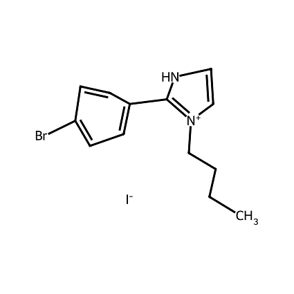 CCCC[n+]1cc[nH]c1-c1ccc(Br)cc1.[I-]